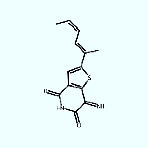 C/C=C\C=C(/C)c1cc2c(s1)C(=N)C(=O)NC2=O